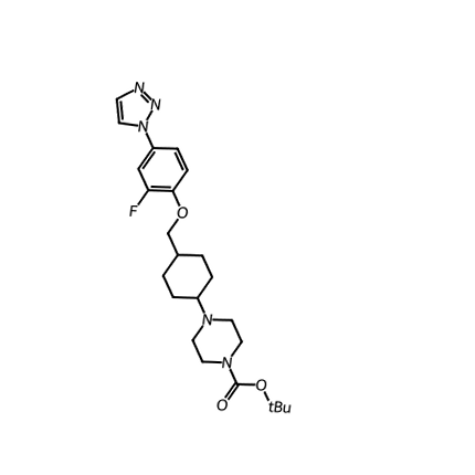 CC(C)(C)OC(=O)N1CCN(C2CCC(COc3ccc(-n4ccnn4)cc3F)CC2)CC1